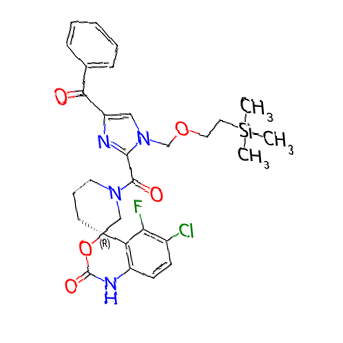 C[Si](C)(C)CCOCn1cc(C(=O)c2ccccc2)nc1C(=O)N1CCC[C@@]2(C1)OC(=O)Nc1ccc(Cl)c(F)c12